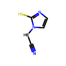 N#CBn1ccnc1S